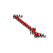 CCC(CO)OC(COC(=O)CCCC(=O)NCCSC1CC(=O)N(CCC(=O)NCCOCCOCCOCCOCCOCCOCCOCCOCCOCCOCCOCCOCCC(=O)NC)C1=O)OC